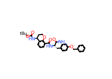 CC(C)(C)OC(=O)NC1CCOc2c(C(=O)N[C@@H](Cc3ccc(OCc4ccccc4)cc3)C(N)=O)cccc21